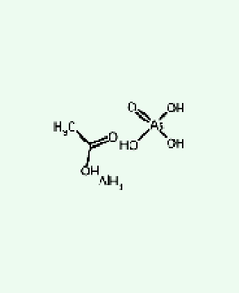 CC(=O)O.O=[As](O)(O)O.[AlH3]